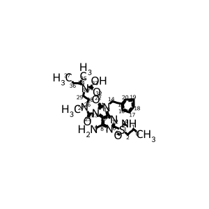 CCCS(=N)(=O)c1nc(N)c2c(n1)n(Cc1ccccc1)c(=O)n2C(=O)N(C)CCN(C(=O)O)C(C)CC